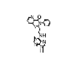 O=c1c2ncccc2nc(CCNc2ncnc3[nH]cnc23)n1-c1ccccc1